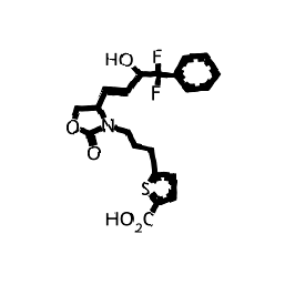 O=C(O)c1ccc(CCCN2C(=O)OCC2C=CC(O)C(F)(F)c2ccccc2)s1